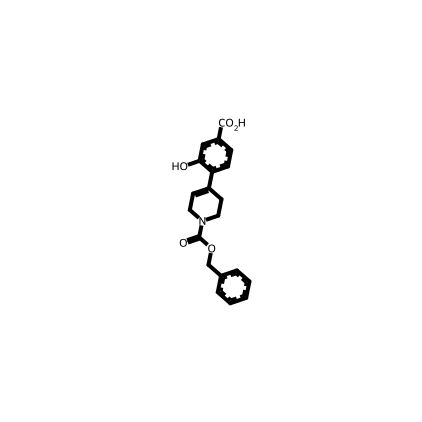 O=C(O)c1ccc(C2=CCN(C(=O)OCc3ccccc3)CC2)c(O)c1